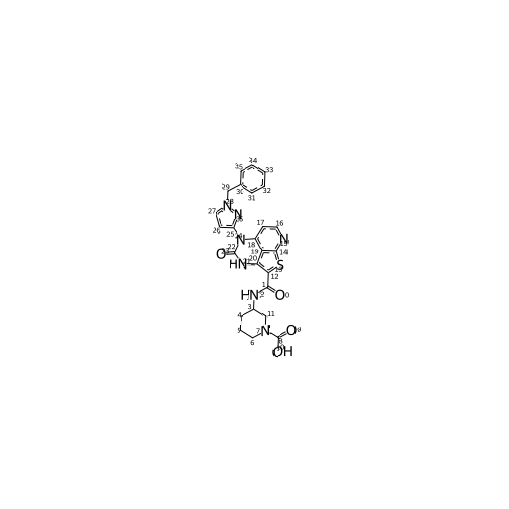 O=C(NC1CCCN(C(=O)O)C1)c1sc2nccc3c2c1NC(=O)N3c1ccn(Cc2ccccc2)n1